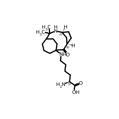 CC1(C)N[C@H]2CC[C@H](C2)C(=O)C2(NCCCC[C@H](N)C(=O)O)CCCC1CC2